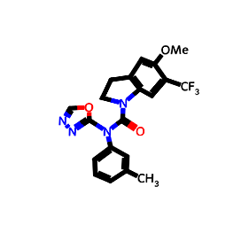 COc1cc2c(cc1C(F)(F)F)N(C(=O)N(c1cccc(C)c1)c1nnco1)CC2